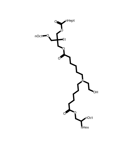 CCCCCCCCOCC(CC)(COC(=O)CCCCCCC)COC(=O)CCCCCN(CCO)CCCCCC(=O)OCC(CCCCCC)CCCCCCCC